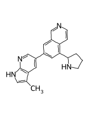 Cc1c[nH]c2ncc(-c3cc(C4CCCN4)c4ccncc4c3)cc12